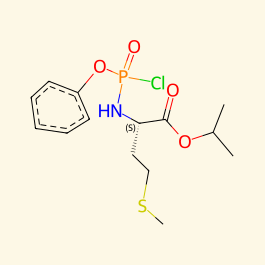 CSCC[C@H](NP(=O)(Cl)Oc1ccccc1)C(=O)OC(C)C